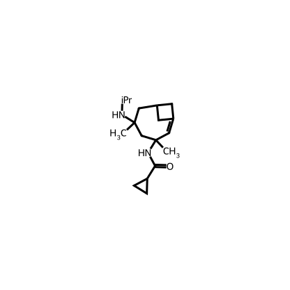 CC(C)NC1(C)CC2CC(=CC(C)(NC(=O)C3CC3)C1)C2